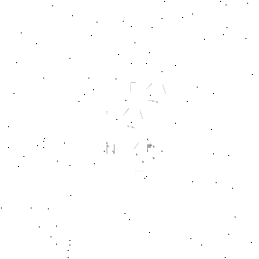 N#Cc1[nH]nnc1-c1cc(-c2ccccc2F)cc(C(F)(F)F)c1